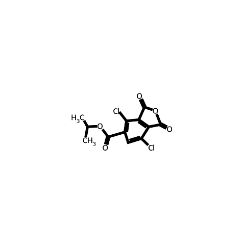 CC(C)OC(=O)c1cc(Cl)c2c(c1Cl)C(=O)OC2=O